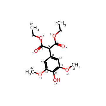 CCOC(=O)C(C(=O)OCC)c1cc(OC)c(O)c(OC)c1